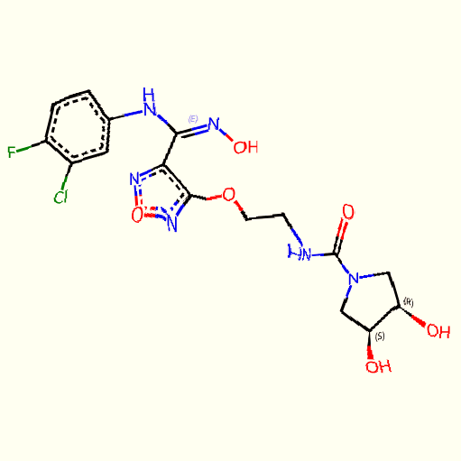 O=C(NCCOc1nonc1/C(=N\O)Nc1ccc(F)c(Cl)c1)N1C[C@@H](O)[C@@H](O)C1